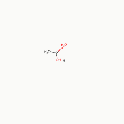 O.[CH2]C(=O)O.[Ni]